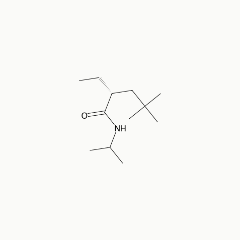 CC[C@H](CC(C)(C)C)C(=O)NC(C)C